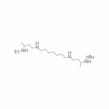 CCCCNC(C)CCNCCCCCCCNCCC(C)NCC